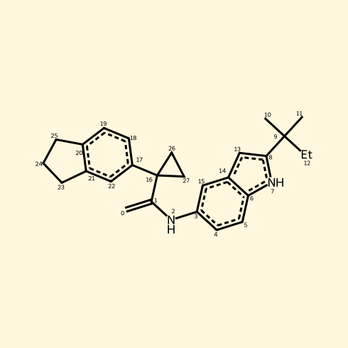 C=C(Nc1ccc2[nH]c(C(C)(C)CC)cc2c1)C1(c2ccc3c(c2)CCC3)CC1